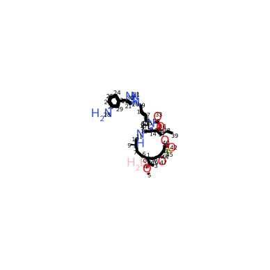 B[C@@]1(C(C)OC)CC[C@@H](C)CN[C@H](C)[C@H]2N(C/C=C/Cn3cc(-c4cccc(N)c4)nn3)C(=O)O[C@]2(C)[C@@H](CC)OC(=O)[C@@](C)(F)C(=O)[C@@H]1C